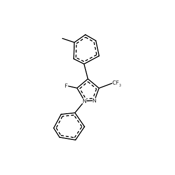 Cc1cccc(-c2c(C(F)(F)F)nn(-c3ccccc3)c2F)c1